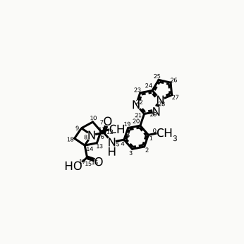 Cc1ccc(NC(=O)N2C3CC(C)CC2(C(=O)O)C3)cc1-c1ncc2cccn2n1